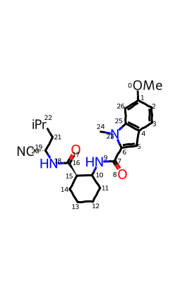 COc1ccc2cc(C(=O)NC3CCCC[C@H]3C(=O)N[C@H](C#N)CC(C)C)n(C)c2c1